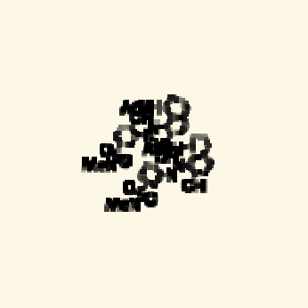 CNS(=O)(=O)c1ccc(O)c(N=Nc2c(O)ccc3cccc(NC(C)=O)c23)c1.CNS(=O)(=O)c1ccc(O)c(N=Nc2c(O)ccc3cccc(NC(C)=O)c23)c1.[Cr]